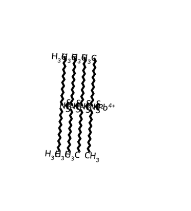 CCCCCCCCCCCCCCCN(CCCCCCCCCCCCCCC)C(=S)[S-].CCCCCCCCCCCCCCCN(CCCCCCCCCCCCCCC)C(=S)[S-].CCCCCCCCCCCCCCCN(CCCCCCCCCCCCCCC)C(=S)[S-].CCCCCCCCCCCCCCCN(CCCCCCCCCCCCCCC)C(=S)[S-].[Pb+4]